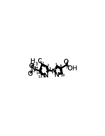 Cc1cc(-n2cc(C(=O)O)cn2)ncc1[N+](=O)[O-]